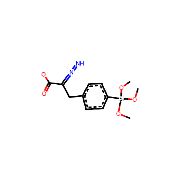 CO[Si](OC)(OC)c1ccc(CC(=[N+]=N)C(=O)[O-])cc1